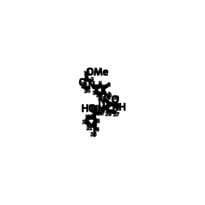 COCC1CN(c2cc(C)c3nc(-c4c(NC[C@@H](O)c5cccc(CI)c5)cc[nH]c4=O)[nH]c3c2)CCO1